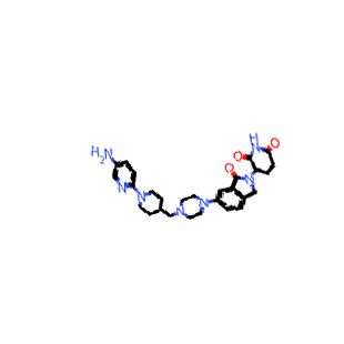 Nc1ccc(N2CCC(CN3CCN(c4ccc5c(c4)C(=O)N(C4CCC(=O)NC4=O)C5)CC3)CC2)nc1